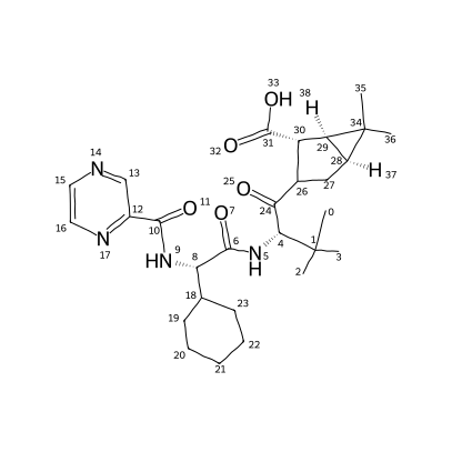 CC(C)(C)[C@H](NC(=O)[C@@H](NC(=O)c1cnccn1)C1CCCCC1)C(=O)C1C[C@H]2[C@@H]([C@H]1C(=O)O)C2(C)C